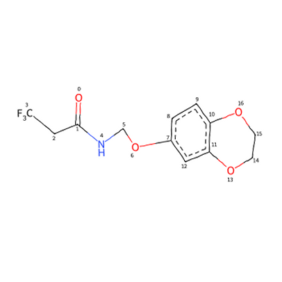 O=C(CC(F)(F)F)NCOc1ccc2c(c1)OCCO2